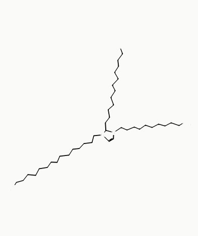 CCCCCCCCCCCCCCCCN1C=CN(CCCCCCCCCCC)C1CCCCCCCCCCCCC